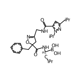 CC(C)C[C@H](NC(=O)C1(Cc2ccccc2)CC(CNC(=O)c2cc(C(C)C)nn2C(C)C)=NO1)B(O)O